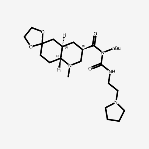 CCCCN(C(=O)NCCN1CCCC1)C(=O)[C@@H]1C[C@@H]2CC3(CC[C@H]2N(C)C1)OCCO3